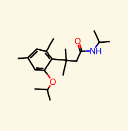 Cc1cc(C)c(C(C)(C)CC(=O)NC(C)C)c(OC(C)C)c1